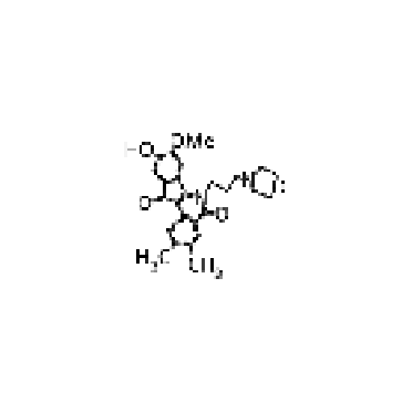 COc1cc2c(cc1O)C(=O)c1c-2n(CCCN2CCOCC2)c(=O)c2cc(C)c(C)cc12